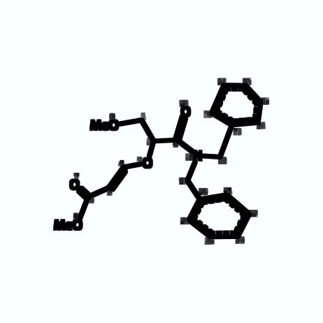 COCC(OC=CC(=O)OC)C(=O)N(Cc1ccccc1)Cc1ccccc1